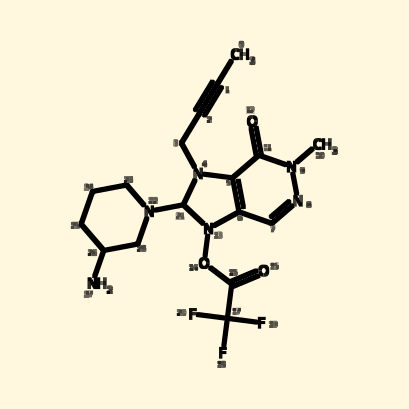 CC#CCN1c2c(cnn(C)c2=O)N(OC(=O)C(F)(F)F)C1N1CCCC(N)C1